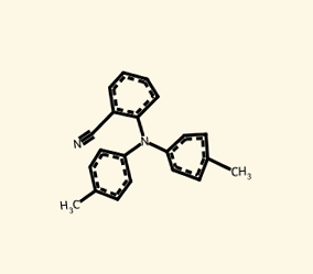 Cc1ccc(N(c2ccc(C)cc2)c2ccccc2C#N)cc1